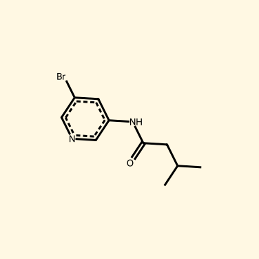 CC(C)CC(=O)Nc1cncc(Br)c1